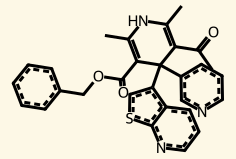 CC(=O)C1=C(C)NC(C)=C(C(=O)OCc2ccccc2)C1(c1cccnc1)c1csc2ncccc12